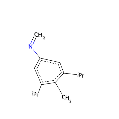 C=Nc1cc(C(C)C)c(C)c(C(C)C)c1